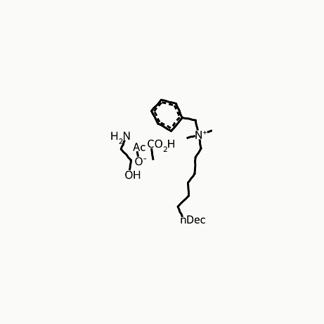 CC(=O)O.CC(=O)[O-].CCCCCCCCCCCCCCCC[N+](C)(C)Cc1ccccc1.NCCO